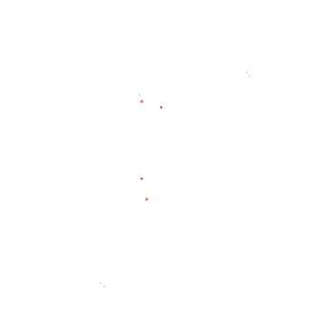 N#Cc1ccc(-c2cc3c4cc5c(c(-c6ccc(C#N)cc6-c6ccccc6)c4ccc3c3cc4c(cc23)-c2cccc3cccc-4c23)-c2cccc3cccc-5c23)c(-c2ccccc2)c1